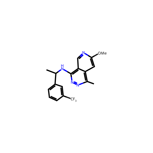 COc1cc2c(C)nnc(NC(C)c3cccc(C(F)(F)F)c3)c2cn1